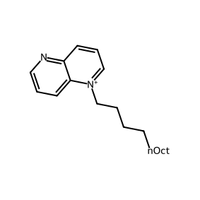 CCCCCCCCCCCC[n+]1cccc2ncccc21